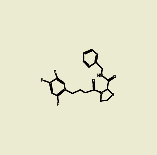 O=C(NCc1ccccc1)C1SCCN1C(=O)CCCc1cc(F)c(F)cc1F